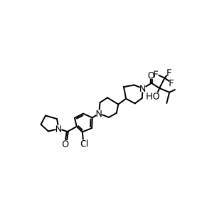 CC(C)C(O)(C(=O)N1CCC(C2CCN(c3ccc(C(=O)N4CCCC4)c(Cl)c3)CC2)CC1)C(F)(F)F